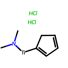 C[N](C)[Ti][C]1=CC=CC1.Cl.Cl